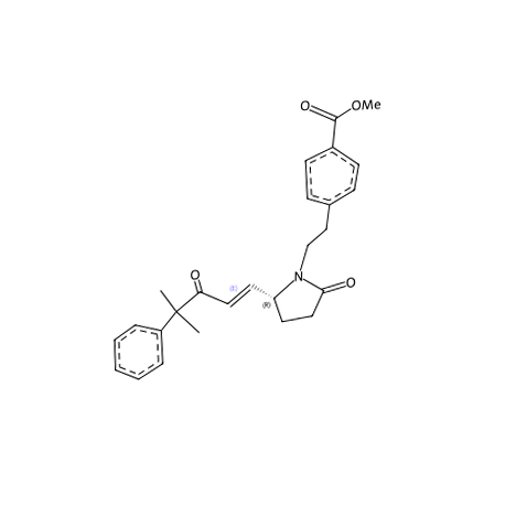 COC(=O)c1ccc(CCN2C(=O)CC[C@@H]2/C=C/C(=O)C(C)(C)c2ccccc2)cc1